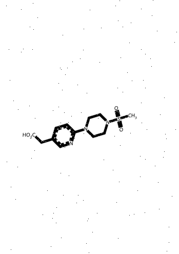 CS(=O)(=O)N1CCN(c2ccc(CC(=O)O)cn2)CC1